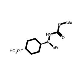 CCCN(NC(=O)OC(C)(C)C)[C@H]1CC[C@H](C(=O)O)CC1